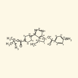 C[C@@H]1C[C@@H](OC(=O)c2ccc(N)cc2)c2ncnc(N3CCN(C(=O)OC(C)(C)C)CC3)c21